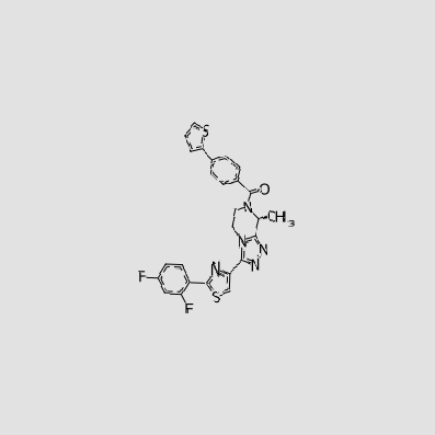 C[C@H]1c2nnc(-c3csc(-c4ccc(F)cc4F)n3)n2CCN1C(=O)c1ccc(-c2cccs2)cc1